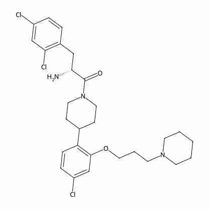 N[C@H](Cc1ccc(Cl)cc1Cl)C(=O)N1CCC(c2ccc(Cl)cc2OCCCN2CCCCC2)CC1